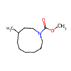 COC(=O)N1CCCCCCC(C)CC1